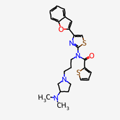 CN(C)C1CCN(CCCN(C(=O)c2cccs2)c2nc(-c3cc4ccccc4o3)cs2)C1